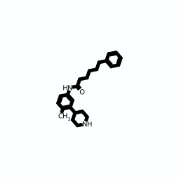 Cc1ccc(NC(=O)CCCCCc2ccccc2)cc1C1CCNCC1